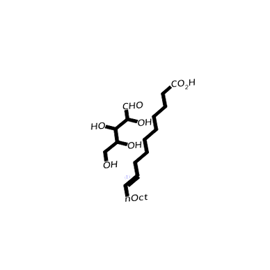 CCCCCCCC/C=C/CCCCCCCC(=O)O.O=CC(O)C(O)C(O)CO